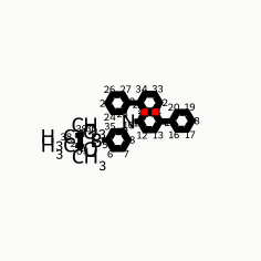 CC1(C)OB(c2cccc(N(c3ccc(-c4ccccc4)cc3)c3ccccc3-c3ccccc3)c2)OC1(C)C